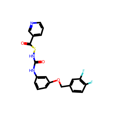 O=C(NSC(=O)c1cccnc1)Nc1cccc(OCc2ccc(F)c(F)c2)c1